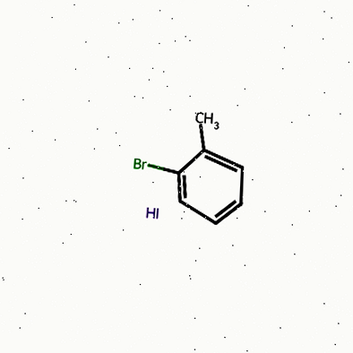 Cc1ccccc1Br.I